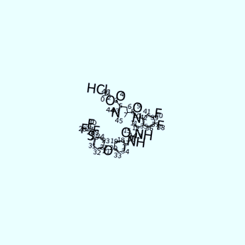 CCOC(=O)C(CCC(=O)n1cc(NC(=O)Nc2ccc(Oc3ccc(SC(F)(F)F)cc3)cc2)c2cc(F)c(F)cc21)N(C)C.Cl